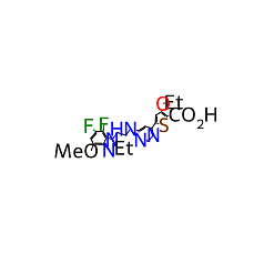 CCOc1cc(-c2cc(NCCn3c(CC)nc4c(OC)cc(F)c(F)c43)ncn2)sc1C(=O)O